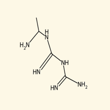 CC(N)NC(=N)NC(=N)N